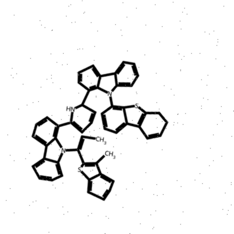 C/C=C(\c1sc2ccccc2c1C)n1c2ccccc2c2cccc(C3=CC=CC(c4cccc5c6ccccc6n(-c6cccc7c8c(sc67)CCC=C8)c45)N3)c21